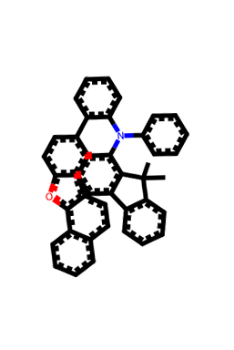 CC1(C)c2ccccc2-c2cccc(N(c3ccccc3)c3ccccc3-c3ccc4oc5c6ccccc6ccc5c4c3)c21